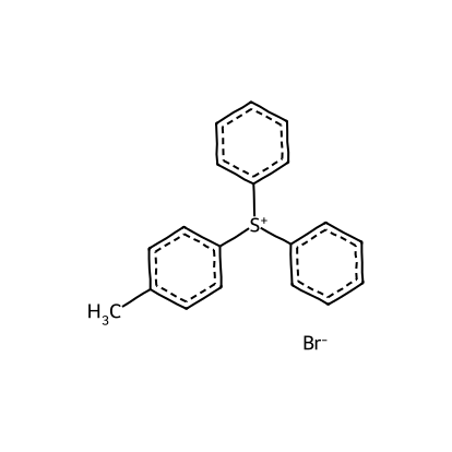 Cc1ccc([S+](c2ccccc2)c2ccccc2)cc1.[Br-]